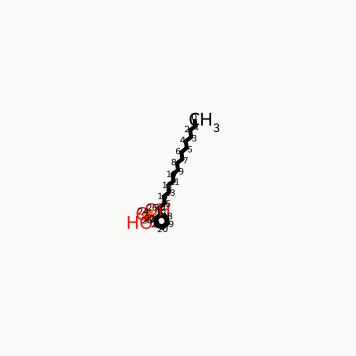 CCCCCCCCCCCCCCCCCc1ccccc1P(=O)(O)O